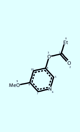 CCC(=O)Oc1cncc(OC)c1